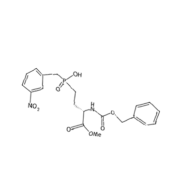 COC(=O)[C@H](CCP(=O)(O)Cc1cccc([N+](=O)[O-])c1)NC(=O)OCc1ccccc1